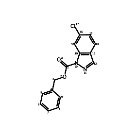 O=C(OCc1ccccc1)n1ncc2ccc(Cl)cc21